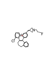 FCCCN1CC(=Cc2ccc(C3=C(c4c(F)cccc4Cl)CCCc4ccccc43)cc2)C1